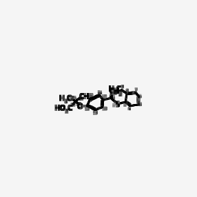 C=C(Sc1ccccc1C)c1ccc(OC(C)(C)C(=O)O)cc1